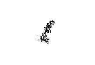 CN(C)C(c1ccccc1)C1CCC(CNC(=O)Oc2csc(-c3ccccc3)n2)CC1